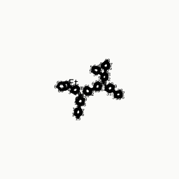 CCC1(c2ccc(N(c3ccc(-c4ccc(C)cc4)cc3)c3ccc(-c4ccc(N(c5ccc(-c6ccccc6)cc5)c5ccc(-c6ccccc6)c(-c6ccccc6)c5)cc4)cc3)cc2)CC2CCCC(C2)C1